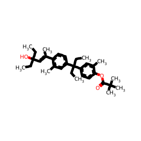 CCC(O)(C=C(C)c1ccc(C(CC)(CC)c2ccc(OC(=O)C(C)(C)C)c(C)c2)cc1C)CC